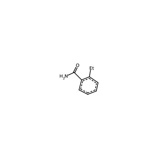 CCc1ccccc1C(N)=O